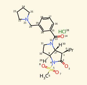 CC(C)[C@H]1C(=O)N(S(C)(=O)=O)[C@H]2CCN(C(=O)c3cccc(CN4CCCC4)c3)[C@H]12.Cl